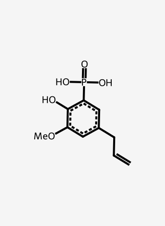 C=CCc1cc(OC)c(O)c(P(=O)(O)O)c1